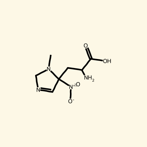 CN1CN=CC1(CC(N)C(=O)O)[N+](=O)[O-]